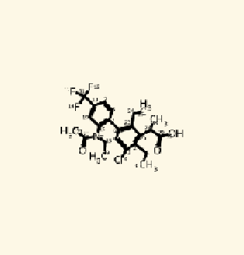 CCc1c(Cl)cc(-c2ccc(C(F)(F)F)cc2N(CC)C(C)=O)c(CC)c1C(C)C(=O)O